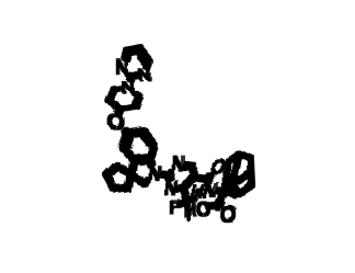 O=C(NC1(C(=O)O)C2CC3CC(C2)CC1C3)c1cnc(N2CC3(CCCC3)c3cc(OC4CCN(c5ncccn5)CC4)ccc32)nc1C(F)(F)F